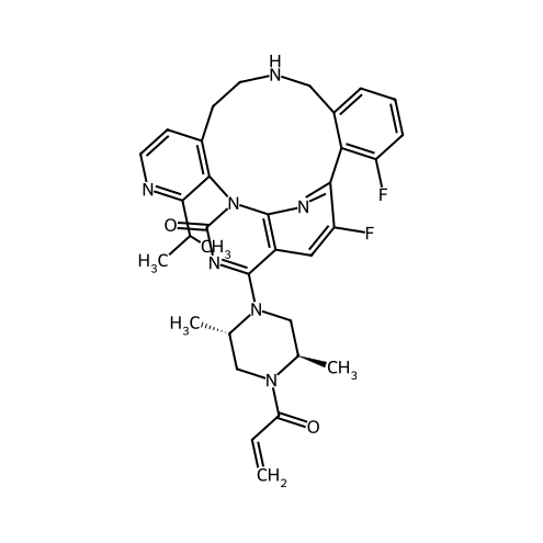 C=CC(=O)N1C[C@H](C)N(c2nc(=O)n3c4nc(c(F)cc24)-c2c(F)cccc2CNCCc2ccnc(C(C)C)c2-3)C[C@H]1C